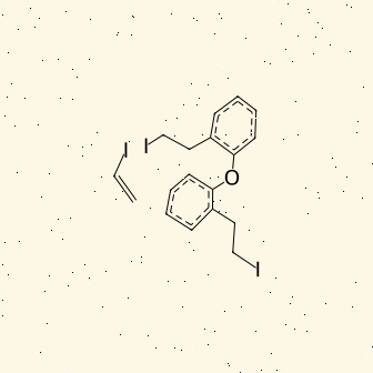 C=CI.ICCc1ccccc1Oc1ccccc1CCI